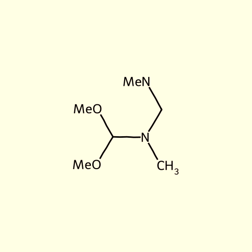 CNCN(C)C(OC)OC